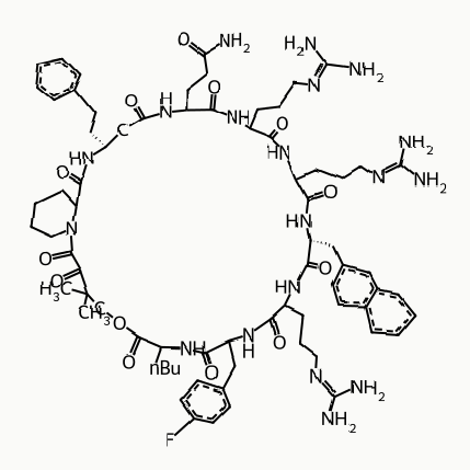 CCCCC1NC(=O)C(Cc2ccc(F)cc2)NC(=O)C(CCCN=C(N)N)NC(=O)[C@@H](Cc2ccc3ccccc3c2)NC(=O)C(CCCN=C(N)N)NC(=O)C(CCCN=C(N)N)NC(=O)C(CCC(N)=O)NC(=O)C[C@@H](CCc2ccccc2)NC(=O)C2CCCCN2C(=O)C(=O)C(C)(C)COC1=O